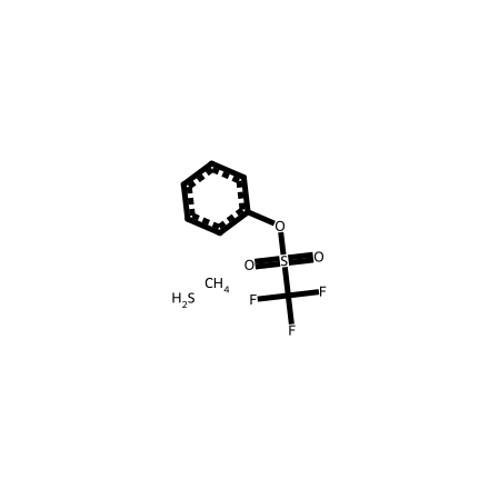 C.O=S(=O)(Oc1ccccc1)C(F)(F)F.S